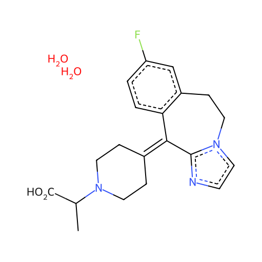 CC(C(=O)O)N1CCC(=C2c3ccc(F)cc3CCn3ccnc32)CC1.O.O